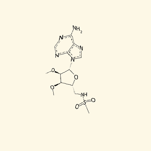 CO[C@@H]1[C@H](OC)[C@@H](CNS(C)(=O)=O)O[C@H]1n1cnc2c(N)ncnc21